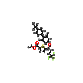 CCOC(=O)c1ccc([C@@H](CCC(F)(F)F)Oc2cc(C)c(-c3ccc(C(C)(C)C)cc3)c(C)c2)s1